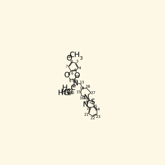 COc1ccc2c(c1)OCC(N(C)CC1CCN(c3nc4ccccc4s3)CC1)O2.Cl.Cl